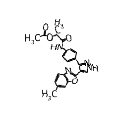 CC(=O)OC(C)C(=O)Nc1ccc(-c2n[nH]cc2-c2nc3ccc(C)cc3o2)cc1